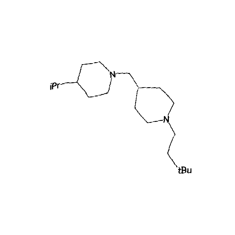 CC(C)C1CCN(CC2CCN(CCC(C)(C)C)CC2)CC1